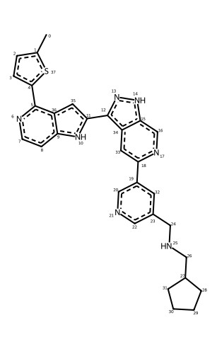 Cc1ccc(-c2nccc3[nH]c(-c4n[nH]c5cnc(-c6cncc(CNCC7CCCC7)c6)cc45)cc23)s1